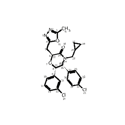 Cc1nnc(C[C@@H]2O[C@@H](c3cccc(Cl)c3)[C@@H](c3ccc(Cl)cc3)N(CC3CC3)C2=O)o1